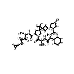 CCC[C@H](NC(=O)[C@@H]1C[C@@]2(CN1C(=O)[C@@H](NC(=O)[C@@H](NC(=O)[C@H]1CCN(CC)C1)C1CCCCC1)C(C)(C)C)C(C)(C)C21CCC1)C(=O)C(=O)NC1CC1